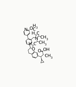 COc1cc(-c2ccc(C3CCc4ccc([C@H](C5CC5)[C@@H](C)C(=O)O)cc4O3)cc2CN(C(C)C)C(C)C)ccn1